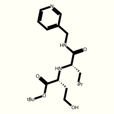 CC(C)C[C@H](N[C@H](CCO)C(=O)OC(C)(C)C)C(=O)NCc1cccnc1